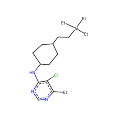 CCc1ncnc(NC2CCC(CC[Si](CC)(CC)CC)CC2)c1Cl